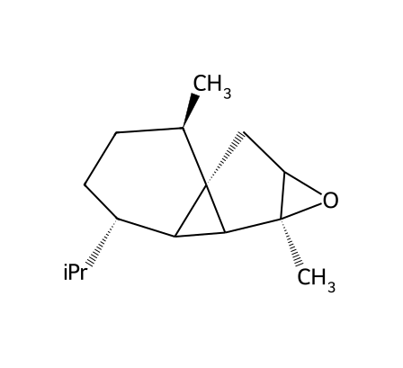 CC(C)[C@@H]1CC[C@@H](C)[C@@]23CC4O[C@@]4(C)C2C13